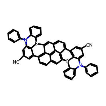 N#Cc1cc2c3c(c1)N(c1ccccc1)c1ccccc1B3c1cc3ccc4c5c(cc6ccc-2c1c6c35)B1c2ccccc2N(c2ccccc2)c2cc(C#N)cc-4c21